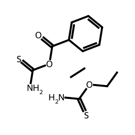 CC.CCOC(N)=S.NC(=S)OC(=O)c1ccccc1